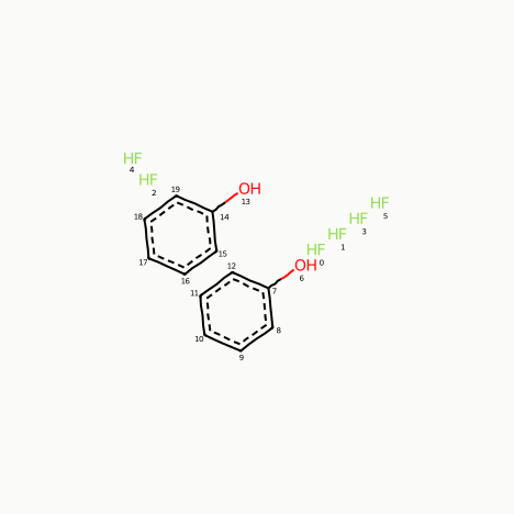 F.F.F.F.F.F.Oc1ccccc1.Oc1ccccc1